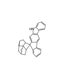 c1ccc2c(c1)-c1cc3c(cc1C21C2CC4CC5CC1C2(C4)C5)[nH]c1ccccc13